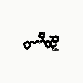 COC(=O)c1ccc(C(OCCCC2CCCCC2)c2ccns2)cc1-c1ccccc1C